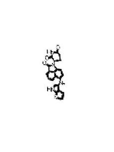 CN(c1c[nH]c2ncccc12)c1ccc2c3c(cccc13)C(=O)N2C1CCC(=O)NC1=O